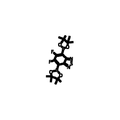 CC1(C)OB(c2c(F)c(F)c(B3OC(C)(C)C(C)(C)O3)c3nsnc23)OC1(C)C